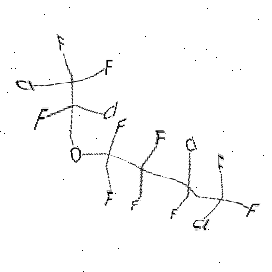 FC(F)(Cl)C(F)(Cl)OC(F)(F)C(F)(F)C(F)(Cl)C(F)(F)Cl